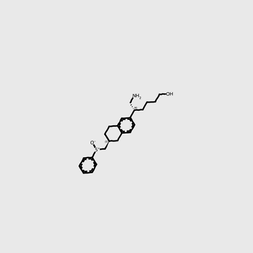 NC[C@H](CCCCO)c1ccc2c(c1)CC[C@H](C[S+]([O-])c1ccccc1)C2